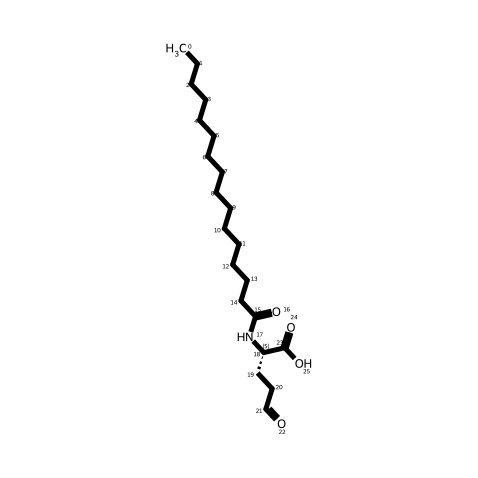 CCCCCCCCCCCCCCCC(=O)N[C@@H](CCC=O)C(=O)O